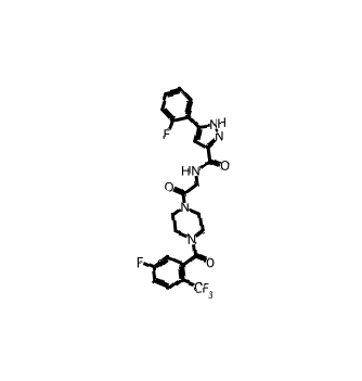 O=C(NCC(=O)N1CCN(C(=O)c2cc(F)ccc2C(F)(F)F)CC1)c1cc(-c2ccccc2F)[nH]n1